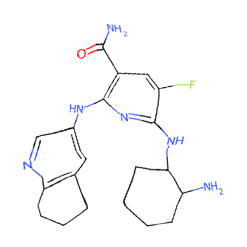 NC(=O)c1cc(F)c(NC2CCCCC2N)nc1Nc1cnc2c(c1)CCC2